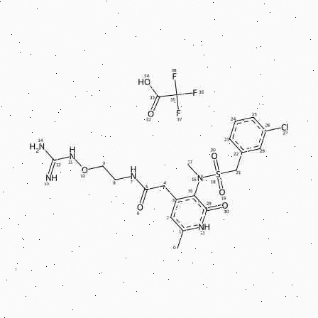 Cc1cc(CC(=O)NCCONC(=N)N)c(N(C)S(=O)(=O)Cc2cccc(Cl)c2)c(=O)[nH]1.O=C(O)C(F)(F)F